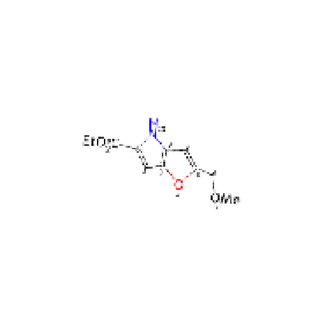 CCOC(=O)c1cc2oc(COC)cc2[nH]1